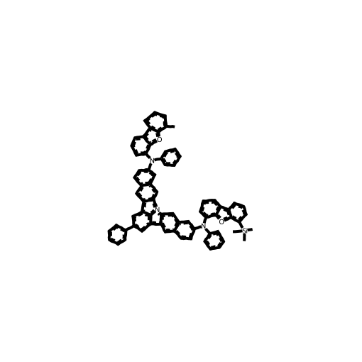 Cc1cccc2c1oc1c(N(c3ccccc3)c3ccc4cc5c6cc(-c7ccccc7)cc7c8cc9ccc(N(c%10ccccc%10)c%10cccc%11c%10oc%10c([Si](C)(C)C)cccc%10%11)cc9cc8n(c5cc4c3)c67)cccc12